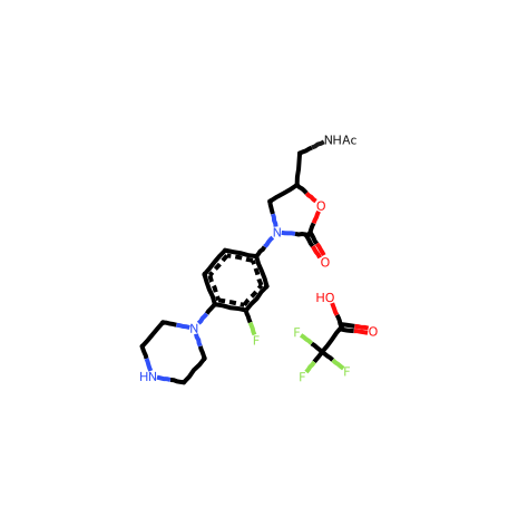 CC(=O)NCC1CN(c2ccc(N3CCNCC3)c(F)c2)C(=O)O1.O=C(O)C(F)(F)F